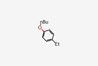 CCCCOc1[c]cc(CC)cc1